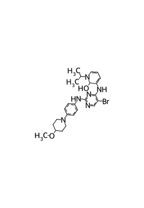 COC1CCN(c2ccc(Nc3ncc(Br)c(NC4=CC=CN(C(C)C)C4O)n3)cc2)CC1